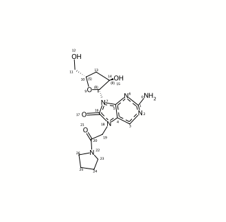 Nc1ncc2c(n1)n([C@@H]1O[C@H](CO)C[C@H]1O)c(=O)n2CC(=O)N1CCCC1